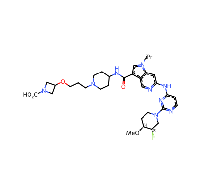 CO[C@H]1CCN(c2nccc(Nc3cc4c(cn3)c(C(=O)NC3CCN(CCCOC5CN(C(=O)O)C5)CC3)cn4C(C)C)n2)C[C@H]1F